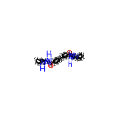 O=C(N/N=C/c1cc2ccccc2[nH]1)c1ccc(-c2ccc(C(=O)N/N=C/c3cc4ccccc4[nH]3)cc2)cc1